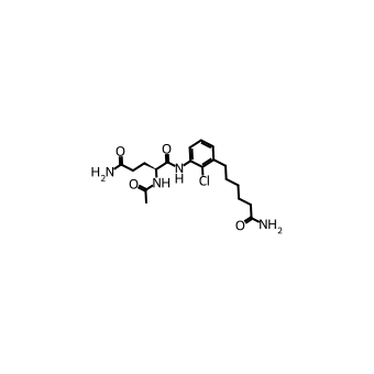 CC(=O)N[C@@H](CCC(N)=O)C(=O)Nc1cccc(CCCCCC(N)=O)c1Cl